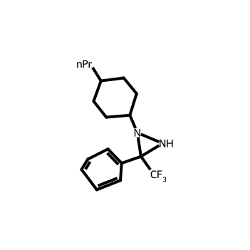 CCCC1CCC(N2NC2(c2ccccc2)C(F)(F)F)CC1